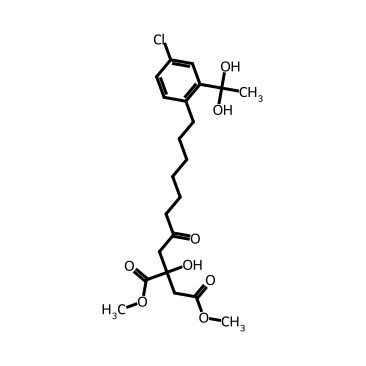 COC(=O)CC(O)(CC(=O)CCCCCCc1ccc(Cl)cc1C(C)(O)O)C(=O)OC